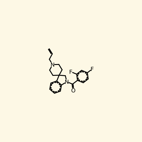 C=CCN1CCC2(CC1)CN(C(=O)c1ccc(F)cc1F)c1ccccc12